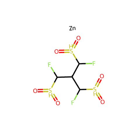 O=[SH](=O)C(F)[C](C(F)[SH](=O)=O)C(F)[SH](=O)=O.[Zn]